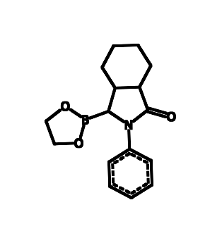 O=C1C2CCCCC2C(B2OCCO2)N1c1ccccc1